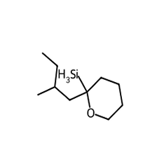 CCC(C)CC1([SiH3])CCCCO1